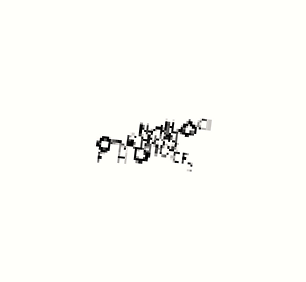 O=C(NCc1cccc(F)c1)c1ccccc1-n1cnc(Cn2nc(-c3ccc(Cl)cc3)n(C[C@H](O)C(F)(F)F)c2=O)n1